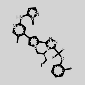 Cc1cnc(Nc2ccnn2C)cc1-c1cc2n(c1)C[C@H](CF)n1c-2nnc1C(F)(F)Oc1ccccc1F